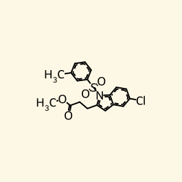 COC(=O)CCc1cc2cc(Cl)ccc2n1S(=O)(=O)c1cccc(C)c1